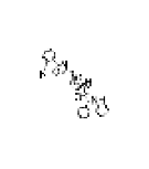 N#Cc1ccccc1-c1nc(C[N+]23CCC(CC2)[C@@H](OC(=O)[C@H](Nc2ccccc2)c2ccccc2)C3)co1